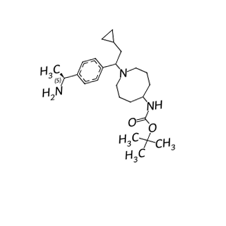 C[C@H](N)c1ccc(C(CC2CC2)N2CCCC(NC(=O)OC(C)(C)C)CCC2)cc1